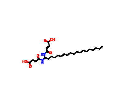 CCCCCCCCCCCCCCCCCCC(NC(=O)C=CC(=O)O)NC(=O)C=CC(=O)O